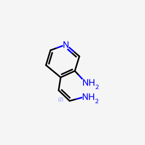 N/C=C\c1ccncc1N